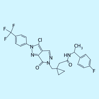 CC(NC(=O)CC1(Cn2ncc3c(Cl)n(-c4ccc(C(F)(F)F)cc4)nc3c2=O)CC1)c1ccc(F)cc1